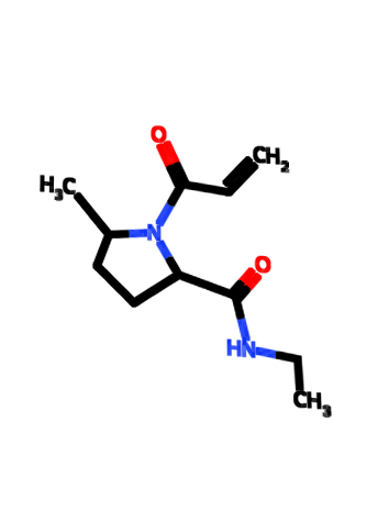 C=CC(=O)N1C(C)CCC1C(=O)NCC